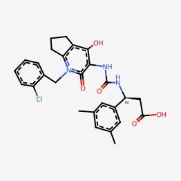 Cc1cc(C)cc([C@H](CC(=O)O)NC(=O)Nc2c(O)c3c(n(Cc4ccccc4Cl)c2=O)CCC3)c1